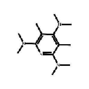 Cc1c(N(C)C)nc(N(C)C)c(C)c1N(C)C